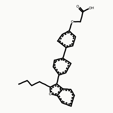 CCCCc1oc2ccccc2c1-c1ccc(-c2ccc(OCC(=O)O)cc2)cc1